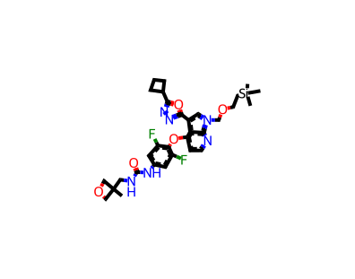 CC1(CNC(=O)Nc2cc(F)c(Oc3ccnc4c3c(-c3nnc(C5CCC5)o3)cn4COCC[Si](C)(C)C)c(F)c2)COC1